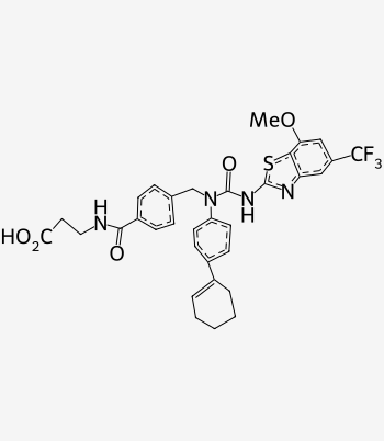 COc1cc(C(F)(F)F)cc2nc(NC(=O)N(Cc3ccc(C(=O)NCCC(=O)O)cc3)c3ccc(C4=CCCCC4)cc3)sc12